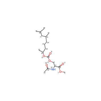 COC(=O)C(COC(=O)OC(C)CCCC(C)CC(C)C)NC(C)=O